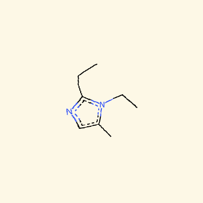 CCc1ncc(C)n1CC